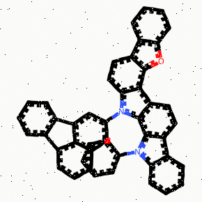 c1ccc(-n2c3ccccc3c3ccc4c5c6oc7ccccc7c6ccc5n(-c5cc6c7c(cccc7c5)-c5ccccc5-6)c4c32)cc1